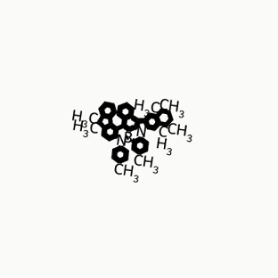 Cc1ccc(N2B3c4cc(C)ccc4-n4c5cc6c(cc5c5c7ccccc7c(c3c54)-c3c2ccc2c3-c3ccccc3C2(C)C)C(C)(C)CCC6(C)C)cc1